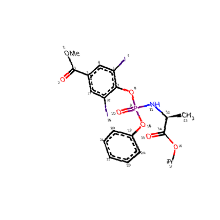 COC(=O)c1cc(I)c(OP(=O)(N[C@@H](C)C(=O)OC(C)C)Oc2ccccc2)c(I)c1